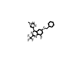 Cn1cc(-c2nc(C(F)(F)F)nc3c(F)cc(SCc4ccccc4)cc23)nn1